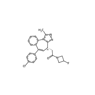 Cc1nnc2n1-c1ccccc1C(c1ccc(Cl)cc1)=C[C@H]2CC(=O)N1CC(F)C1